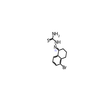 NC(=S)N/N=C1\CCCc2c(Br)cccc21